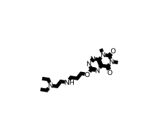 CCN(CC)CCNCCCOc1nnc2c(n1)c(=O)n(C)c(=O)n2C